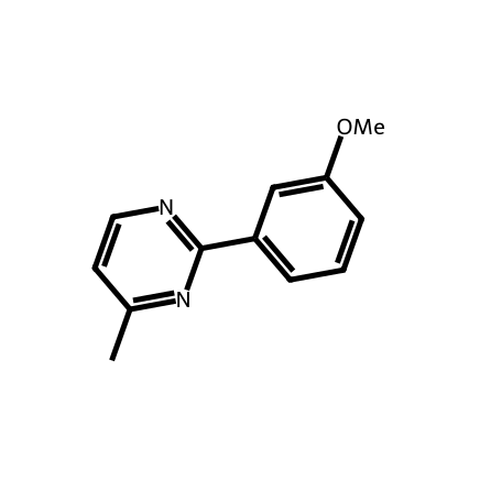 COc1cccc(-c2nccc(C)n2)c1